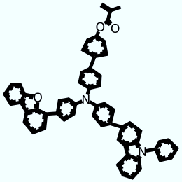 C=C(C)C(=O)Oc1ccc(-c2ccc(N(c3ccc(-c4ccc5c(c4)c4ccccc4n5-c4ccccc4)cc3)c3ccc(-c4cccc5c4oc4ccccc45)cc3)cc2)cc1